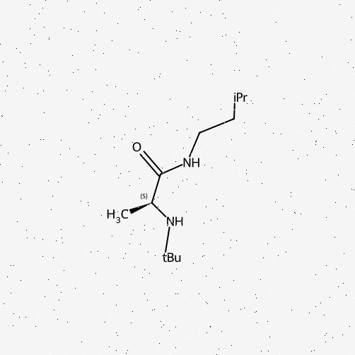 CC(C)CCNC(=O)[C@H](C)NC(C)(C)C